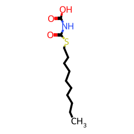 CCCCCCCCCCSC(=O)NC(=O)O